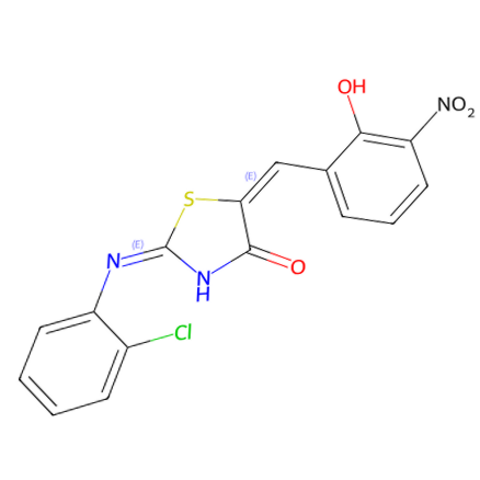 O=C1N/C(=N\c2ccccc2Cl)S/C1=C/c1cccc([N+](=O)[O-])c1O